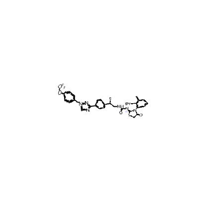 Cc1cccc(N2C(=O)CS/C2=N\C(=O)NCC(F)c2ccc(-c3ncn(-c4ccc(OC(F)(F)F)cc4)n3)cc2)c1C(C)C